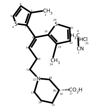 CC#N.Cc1ccsc1C(=CCCN1CCC[C@@H](C(=O)O)C1)c1sccc1C.Cl